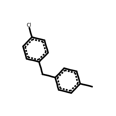 Cc1ccc([CH]c2ccc(Cl)cc2)cc1